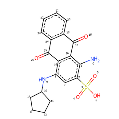 Nc1c(S(=O)(=O)O)cc(NC2CCCC2)c2c1C(=O)c1ccccc1C2=O